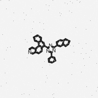 c1ccc(-c2nc(-c3ccc4ccccc4c3)nc(-c3cc4ccccc4c4c3ccc3cnccc34)n2)cc1